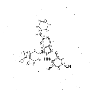 C[C@]1(C(N)=O)CC[C@@H](n2c(Nc3c(F)cc(C#N)cc3Cl)nc3cnc(NC4CCOCC4)nc32)CC1